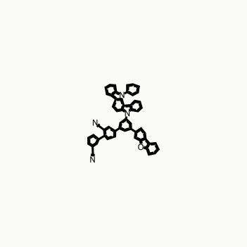 N#Cc1cccc(-c2ccc(-c3cc(-c4ccc5c(c4)oc4ccccc45)cc(-n4c5ccccc5c5c4ccc4c6ccccc6n(-c6ccccc6)c45)c3)cc2C#N)c1